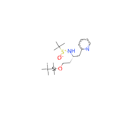 CC(C)(C)[S@+]([O-])N[C@@H](CCO[Si](C)(C)C(C)(C)C)Cc1ccccn1